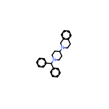 c1ccc(C(c2ccccc2)N2CCC(N3CCc4ccccc4C3)CC2)cc1